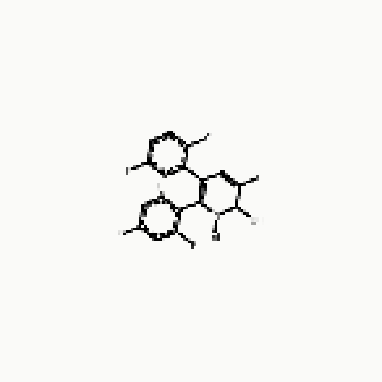 CCN1C(c2c(F)cc(F)cc2F)=C(c2cc(F)ccc2Cl)C=C(C)C1O